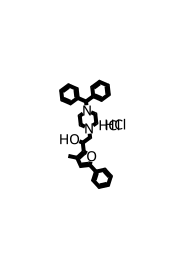 Cc1cc(-c2ccccc2)oc1C(O)CN1CCN(C(c2ccccc2)c2ccccc2)CC1.Cl.Cl